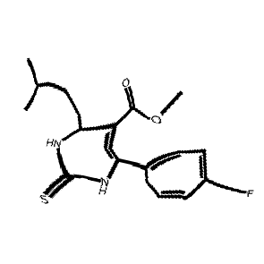 COC(=O)C1=C(c2ccc(F)cc2)NC(=S)NC1CC(C)C